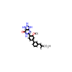 CCOc1cc(-c2cccc(/C=C(\C)C(=O)O)c2)ccc1-c1nc2c(c(=O)[nH]1)NNN2